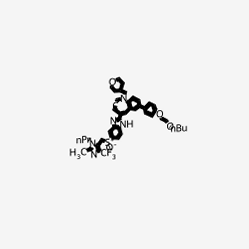 CCCCOCCOc1ccc(-c2ccc3c(c2)/C=C(/c2nc4cc([S@+]([O-])Cc5c(C(F)(F)F)nc(C)n5CCC)ccc4[nH]2)CCCN3CC2CCOCC2)cc1